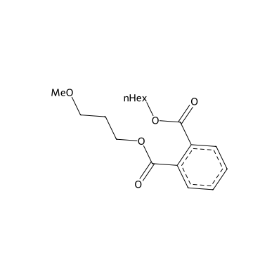 CCCCCCOC(=O)c1ccccc1C(=O)OCCCOC